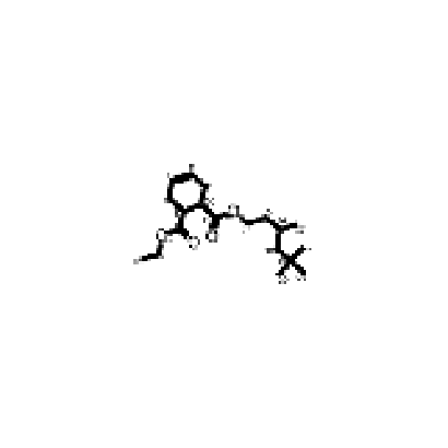 CCOC(=O)C1CC=CCC1C(=O)OCCC(C)CC(C)(C)C